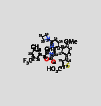 COc1ccc(-c2csc(C(=O)O)c2)cc1-c1ccc(N2CCC2)nc1CN1C(=O)O[C@H](c2cc(C)cc(C(F)(F)F)c2)[C@@H]1C